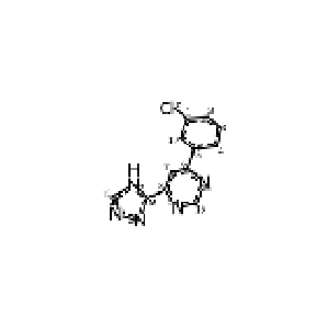 Clc1cccc(-c2cc(-c3nnc[nH]3)ncn2)c1